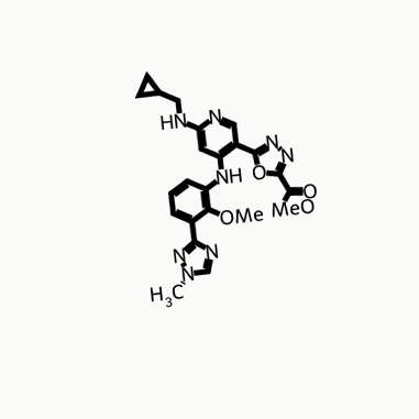 COC(=O)c1nnc(-c2cnc(NCC3CC3)cc2Nc2cccc(-c3ncn(C)n3)c2OC)o1